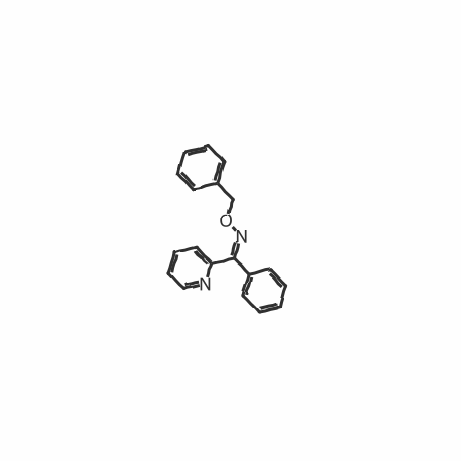 c1ccc(CO/N=C(/c2ccccc2)c2ccccn2)cc1